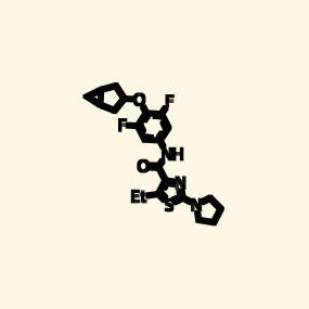 CCc1sc(N2CCCC2)nc1C(=O)Nc1cc(F)c(OC2CC3CC3C2)c(F)c1